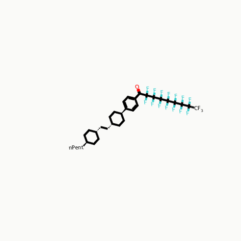 CCCCC[C@H]1CC[C@H](CC[C@H]2CC[C@H](c3ccc(C(=O)C(F)(F)C(F)(F)C(F)(F)C(F)(F)C(F)(F)C(F)(F)C(F)(F)C(F)(F)F)cc3)CC2)CC1